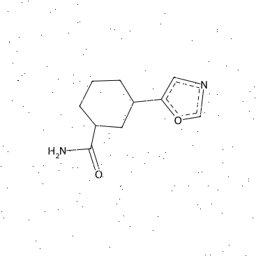 NC(=O)C1CCCC(c2cnco2)C1